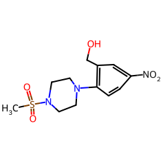 CS(=O)(=O)N1CCN(c2ccc([N+](=O)[O-])cc2CO)CC1